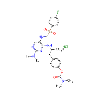 CCN(CC)c1ncc(NCS(=O)(=O)c2ccc(F)cc2)c(NC(Cc2ccc(OC(=O)N(C)C)cc2)C(=O)O)n1.Cl